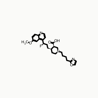 COc1ccc2nccc([C@H](F)CC[C@@H]3CCN(CCCCc4ncco4)C[C@@H]3C(=O)O)c2c1